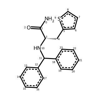 NC(=O)[C@H](Cc1cccs1)NC(c1ccccc1)c1ccccc1